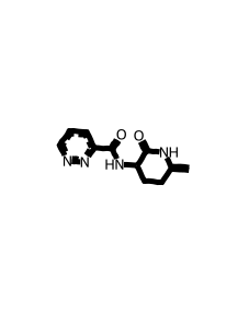 C=C1CCC(NC(=O)c2cccnn2)C(=O)N1